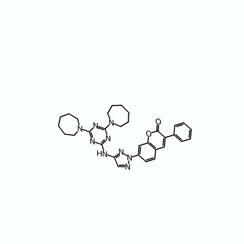 O=c1oc2cc(-n3ncc(Nc4nc(N5CCCCCC5)nc(N5CCCCCC5)n4)n3)ccc2cc1-c1ccccc1